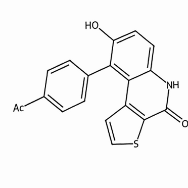 CC(=O)c1ccc(-c2c(O)ccc3[nH]c(=O)c4sccc4c23)cc1